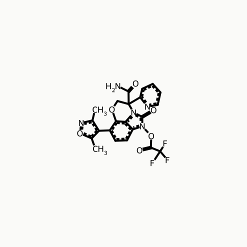 Cc1noc(C)c1-c1ccc2c3c1OCC(C(N)=O)(c1ccccn1)n3c(=O)n2OC(=O)C(F)(F)F